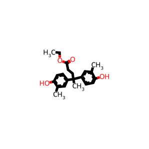 CCOC(=O)CCC(C)(c1ccc(O)c(C)c1)c1ccc(O)c(C)c1